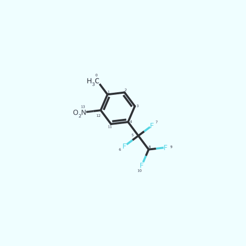 Cc1ccc(C(F)(F)C(F)F)cc1[N+](=O)[O-]